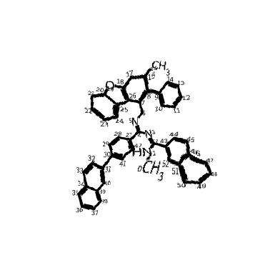 CN/C(=N\C(=N/CC1=C(c2ccccc2)C(C)Cc2oc3ccccc3c21)c1ccc(-c2ccc3ccccc3c2)cc1)c1ccc2ccccc2c1